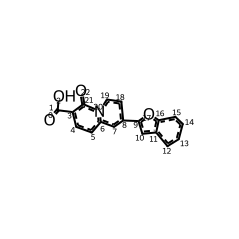 O=C(O)c1ccc2cc(-c3cc4ccccc4o3)ccn2c1=O